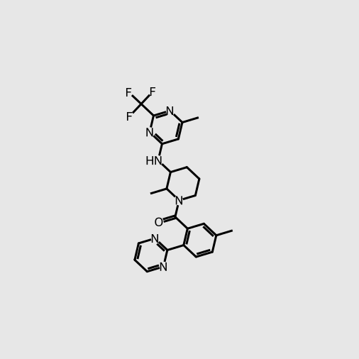 Cc1ccc(-c2ncccn2)c(C(=O)N2CCCC(Nc3cc(C)nc(C(F)(F)F)n3)C2C)c1